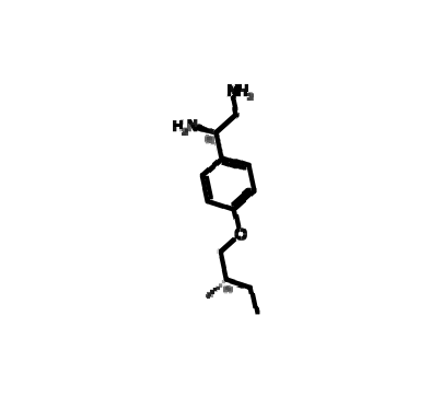 CC[C@H](C)COc1ccc([C@@H](N)CN)cc1